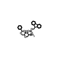 BC1COC2COC(c3ccccc3)O[C@@H]2C1OC(=O)OCC1c2ccccc2-c2ccccc21